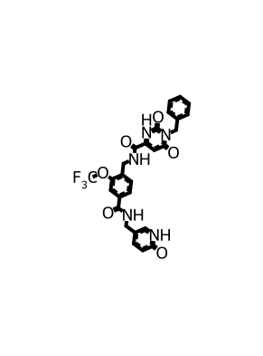 O=C(NCc1ccc(=O)[nH]c1)c1ccc(CNC(=O)c2cc(=O)n(Cc3ccccc3)c(=O)[nH]2)c(OC(F)(F)F)c1